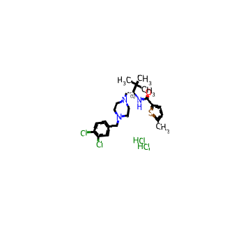 Cc1ccc(C(=O)N[C@H](CN2CCN(Cc3ccc(Cl)c(Cl)c3)CC2)C(C)(C)C)s1.Cl.Cl